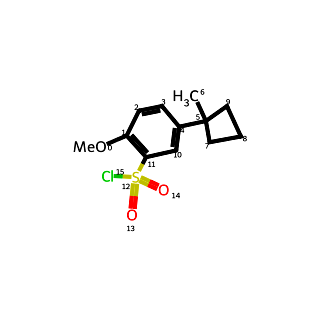 COc1ccc(C2(C)CCC2)cc1S(=O)(=O)Cl